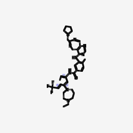 C\C=C(/C=C(\C=C\C(F)(F)F)N1CCCN(CC)CC1)NC(=O)c1ccc(C)c(Nc2ncnc3c2CN=C(CN2CCCC2)N=C3)c1